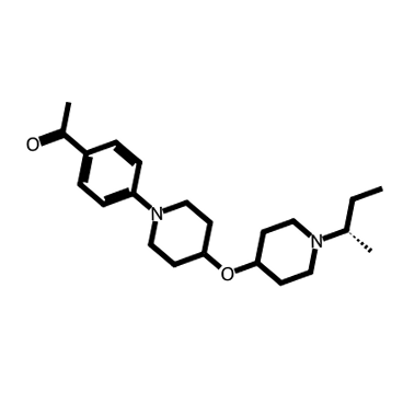 CC[C@H](C)N1CCC(OC2CCN(c3ccc(C(C)=O)cc3)CC2)CC1